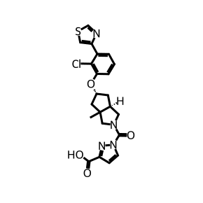 CC12C[C@H](Oc3cccc(-c4cscn4)c3Cl)C[C@H]1CN(C(=O)n1ccc(C(=O)O)n1)C2